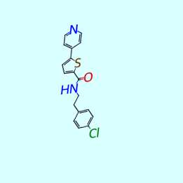 O=C(NCCc1ccc(Cl)cc1)c1ccc(-c2ccncc2)s1